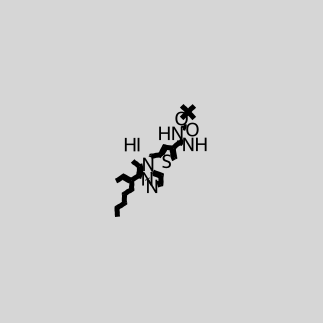 CC=C(CCCCC)c1c(C)n(Cc2cc(C(=N)NC(=O)OC(C)(C)C)cs2)c2ccnn12.I